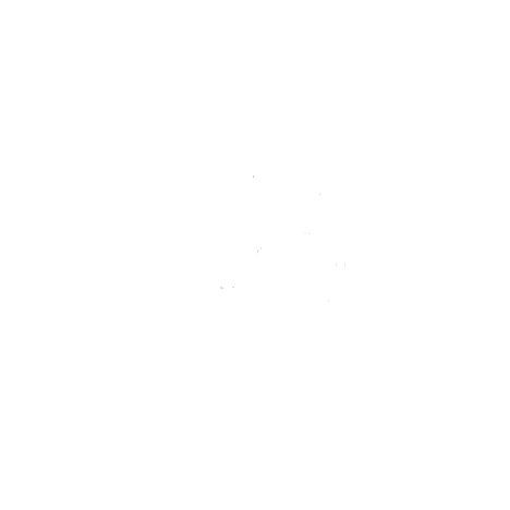 O=C1CC2C3CCC2(C(=O)O1)C(=O)OC3=O